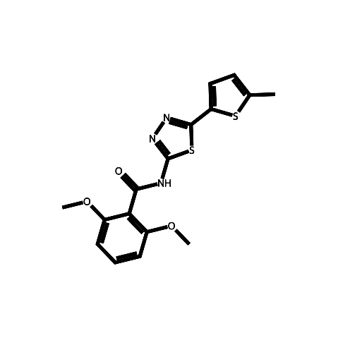 COc1cccc(OC)c1C(=O)Nc1nnc(-c2ccc(C)s2)s1